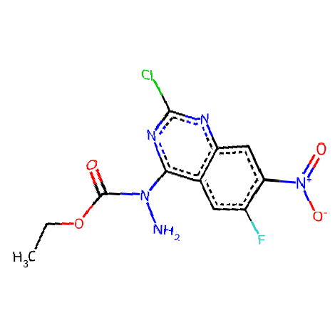 CCOC(=O)N(N)c1nc(Cl)nc2cc([N+](=O)[O-])c(F)cc12